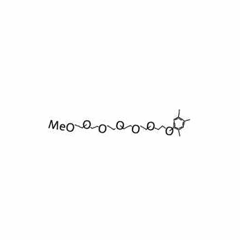 COCCOCCOCCOCCOCCOCCOc1cc(C)c(C)cc1C